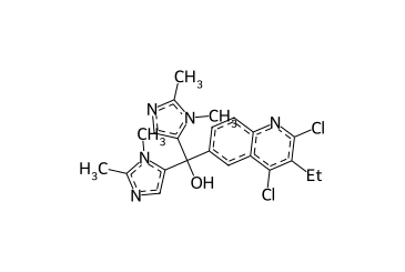 CCc1c(Cl)nc2ccc(C(O)(c3cnc(C)n3C)c3cnc(C)n3C)cc2c1Cl